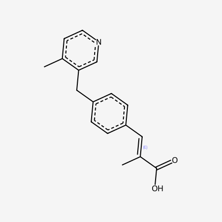 C/C(=C\c1ccc(Cc2cnccc2C)cc1)C(=O)O